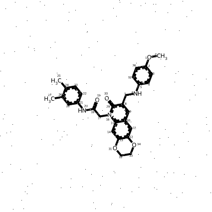 COc1ccc(NCc2cc3cc4c(cc3n(CC(=O)Nc3ccc(C)c(C)c3)c2=O)OCCO4)cc1